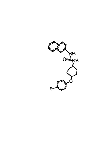 O=C(Nc1ccc2ccccc2c1)NC1CCC(Oc2ccc(F)cc2)CC1